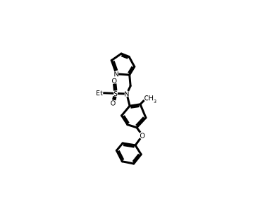 CCS(=O)(=O)N(Cc1ccccn1)c1ccc(Oc2ccccc2)cc1C